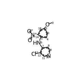 COc1ccc(Nc2ccncc2Cl)c([N+](=O)[O-])c1